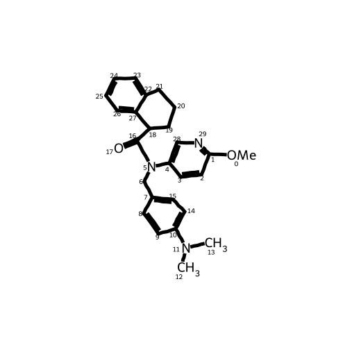 COc1ccc(N(Cc2ccc(N(C)C)cc2)C(=O)C2CCCc3ccccc32)cn1